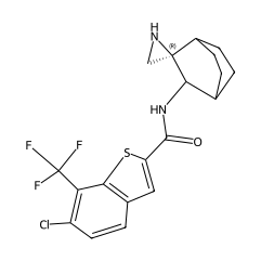 O=C(NC1C2CCC(CC2)[C@@]12CN2)c1cc2ccc(Cl)c(C(F)(F)F)c2s1